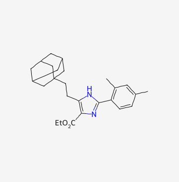 CCOC(=O)c1nc(-c2ccc(C)cc2C)[nH]c1CCC12CC3CC(CC(C3)C1)C2